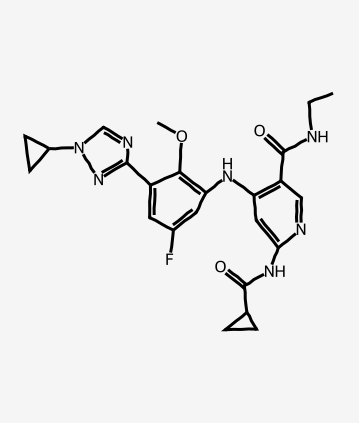 CCNC(=O)c1cnc(NC(=O)C2CC2)cc1Nc1cc(F)cc(-c2ncn(C3CC3)n2)c1OC